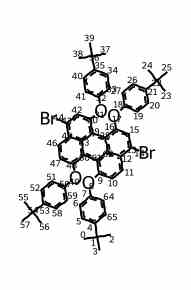 CC(C)(C)c1ccc(Oc2ccc3c(Br)cc(Oc4ccc(C(C)(C)C)cc4)c4c5c(Oc6ccc(C(C)(C)C)cc6)cc(Br)c6ccc(Oc7ccc(C(C)(C)C)cc7)c(c2c34)c65)cc1